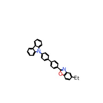 CCc1ccc2oc(-c3ccc(-c4ccc(-n5c6ccccc6c6ccccc65)cc4)cc3)nc2c1